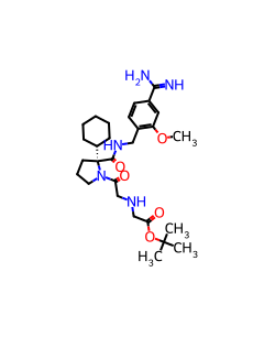 COc1cc(C(=N)N)ccc1CNC(=O)[C@]1(C2CCCCC2)CCCN1C(=O)CNCC(=O)OC(C)(C)C